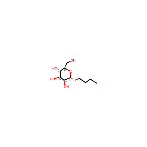 OC[C@H]1O[C@H](OCCCI)[C@@H](O)[C@@H](O)[C@@H]1O